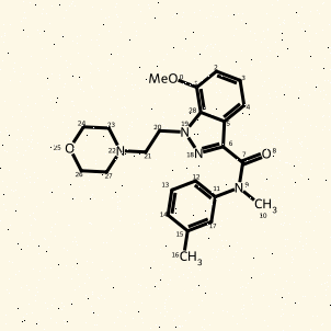 COc1cccc2c(C(=O)N(C)c3cccc(C)c3)nn(CCN3CCOCC3)c12